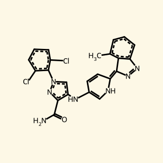 Cc1cccc2c1C(=C1C=CC(Nc3cn(-c4c(Cl)cccc4Cl)nc3C(N)=O)=CN1)N=N2